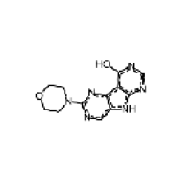 Oc1ncnc2[nH]c3cnc(N4CCOCC4)nc3c12